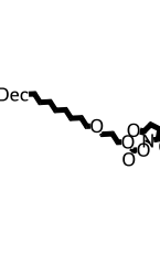 CCCCCCCCCCCCCCCCCCOCCCOC(=O)ON1C(=O)CCC1=O